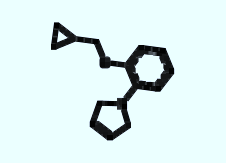 C1=CCN(c2ccccc2OCC2CC2)C1